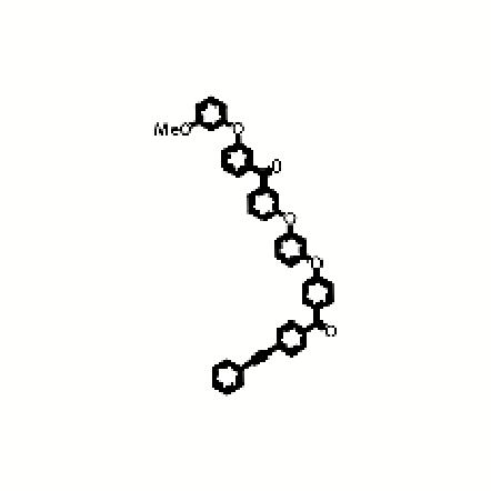 COc1cccc(Oc2cccc(C(=O)c3cccc(Oc4cccc(Oc5ccc(C(=O)c6ccc(C#Cc7ccccc7)cc6)cc5)c4)c3)c2)c1